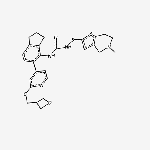 CN1CCc2sc(SNC(=O)Nc3c(-c4ccnc(OCC5COC5)c4)ccc4c3CCC4)cc2C1